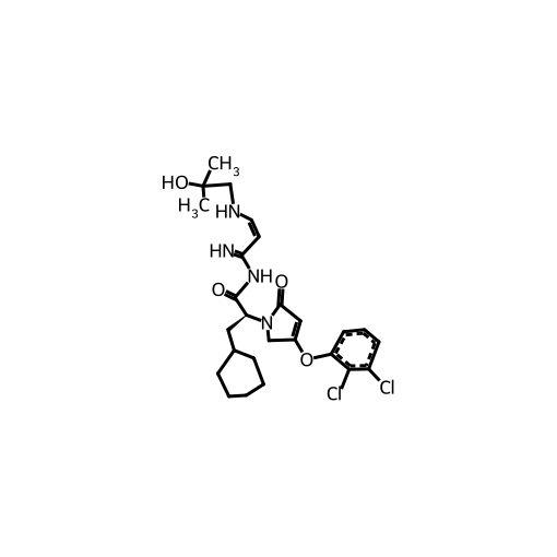 CC(C)(O)CN/C=C\C(=N)NC(=O)[C@H](CC1CCCCC1)N1CC(Oc2cccc(Cl)c2Cl)=CC1=O